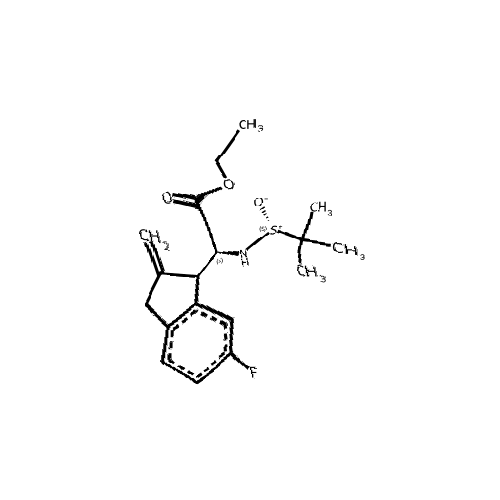 C=C1Cc2ccc(F)cc2C1[C@H](N[S@+]([O-])C(C)(C)C)C(=O)OCC